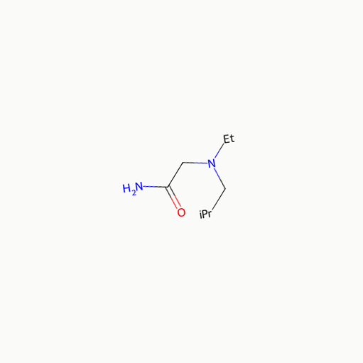 CCN(CC(N)=O)CC(C)C